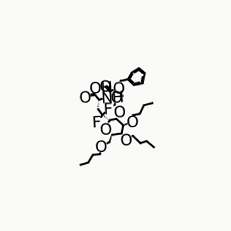 CCCCOC[C@H]1O[C@H](C(F)(F)C[C@@H](NC(=O)OCc2ccccc2)C(=O)O)[C@H](OCOC)[C@@H](OCCCC)[C@H]1OCCCC